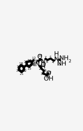 N=C(N)NCCCCNC(=O)[C@@H](Cc1ccc(-c2ccccc2)cc1)NC(=O)CCCC(=O)O